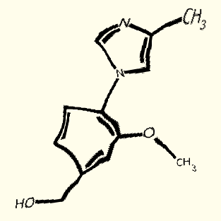 COc1cc(CO)ccc1-n1cnc(C)c1